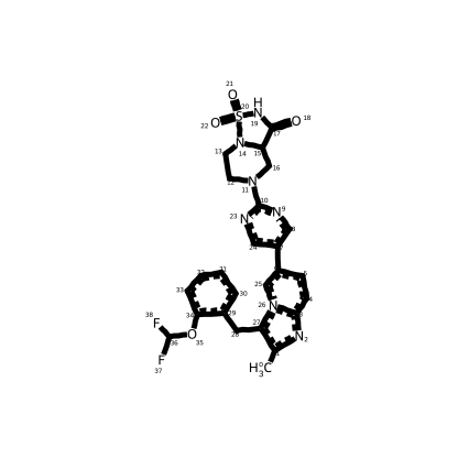 Cc1nc2ccc(-c3cnc(N4CCN5C(C4)C(=O)NS5(=O)=O)nc3)cn2c1Cc1ccccc1OC(F)F